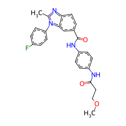 COCCC(=O)Nc1ccc(NC(=O)c2ccc3nc(C)n(-c4ccc(F)cc4)c3c2)cc1